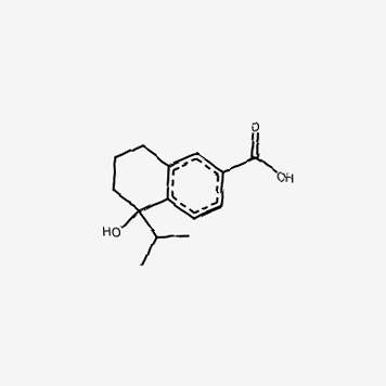 CC(C)C1(O)CCCc2cc(C(=O)O)ccc21